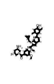 COc1cc(C(=O)N2C[C@H](N)C[C@@H](F)C2)cc2nc(-c3cc4ccc(-c5cc(C)c(O)cc5C)nc4n3CC3CC3)n(C)c12